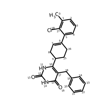 Cc1cccc(C2=CCC(c3[nH]c(=O)[nH]c(=O)c3Cc3ccccc3)CC2)c1Cl